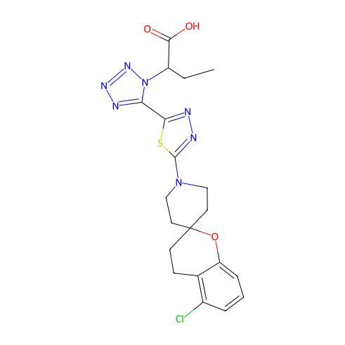 CCC(C(=O)O)n1nnnc1-c1nnc(N2CCC3(CCc4c(Cl)cccc4O3)CC2)s1